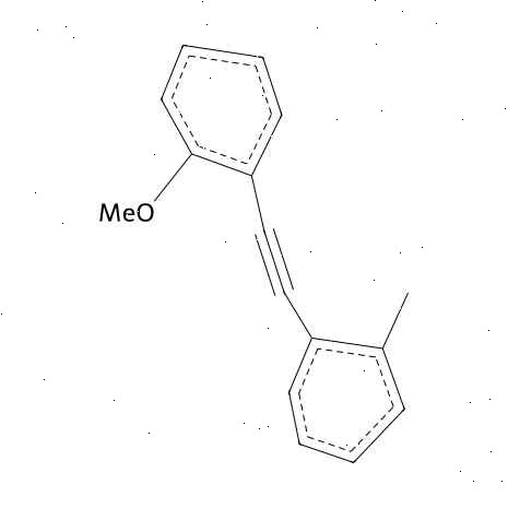 COc1ccccc1C#Cc1ccccc1C